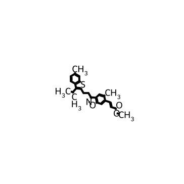 COC(=O)/C=C/c1cc2onc(CCc3sc4cc(C)ccc4c3C(C)C)c2cc1C